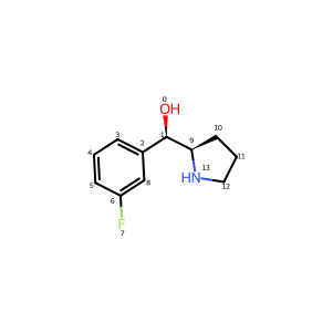 O[C@H](c1cccc(F)c1)[C@H]1CCCN1